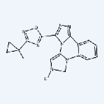 CC1(c2noc(-c3nnc4n3C3=CN(Cl)CN3c3ccccc3-4)n2)CC1